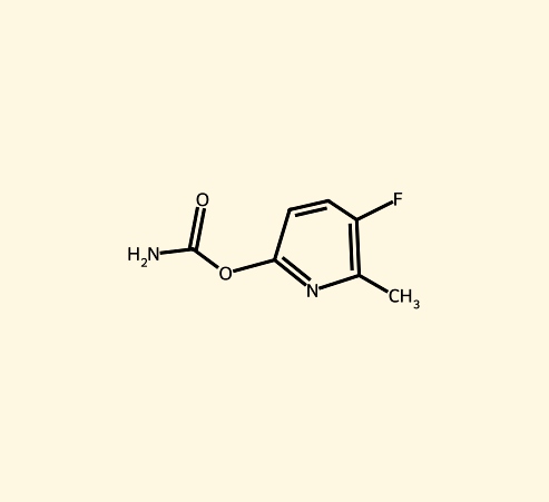 Cc1nc(OC(N)=O)ccc1F